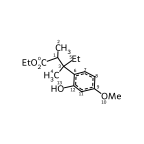 CCOC(=O)C(C)C(C)(CC)c1ccc(OC)cc1O